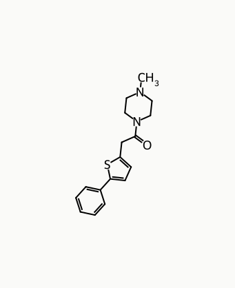 CN1CCN(C(=O)Cc2ccc(-c3ccccc3)s2)CC1